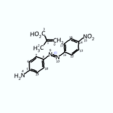 C=C(C)C(=O)O.Nc1ccc(/N=N/c2ccc([N+](=O)[O-])cc2)cc1